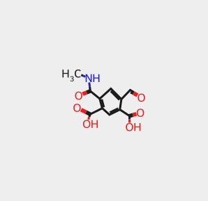 CNC(=O)c1cc(C=O)c(C(=O)O)cc1C(=O)O